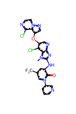 Cn1c(Nc2cc(C(F)(F)F)cn(-c3cccnc3)c2=O)nc2ncc(Oc3cnn4ccnc(Cl)c34)c(Cl)c21